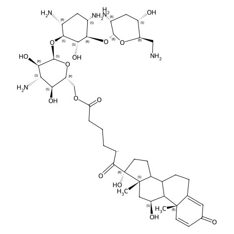 C[C@]12C=CC(=O)C=C1CCC1C2[C@@H](O)C[C@@]2(C)C1CC[C@]2(O)C(=O)[CH]CCCC(=O)OC[C@H]1O[C@H](O[C@@H]2[C@@H](O)[C@H](O[C@H]3O[C@H](CN)[C@@H](O)C[C@H]3N)[C@@H](N)C[C@H]2N)[C@H](O)[C@@H](N)[C@@H]1O